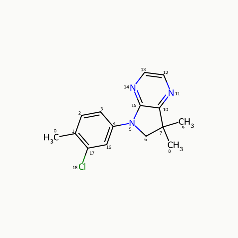 Cc1ccc(N2CC(C)(C)c3nccnc32)cc1Cl